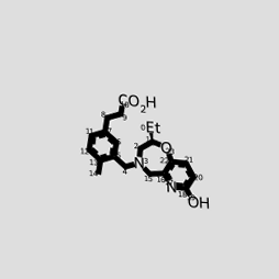 CC[C@@H]1CN(Cc2cc(CCC(=O)O)ccc2C)Cc2nc(O)ccc2O1